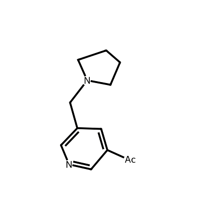 CC(=O)c1cncc(CN2CCCC2)c1